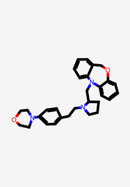 c1ccc2c(c1)COc1ccccc1N2CC1CCCN1CCc1ccc(N2CCOCC2)cc1